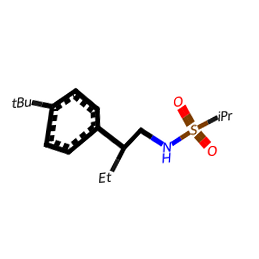 CCC(CNS(=O)(=O)C(C)C)c1ccc(C(C)(C)C)cc1